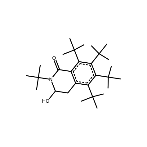 CC(C)(C)c1c2c(c(C(C)(C)C)c(C(C)(C)C)c1C(C)(C)C)C(=O)N(C(C)(C)C)C(O)C2